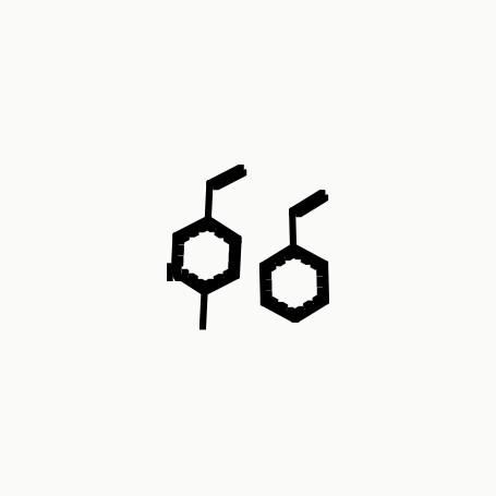 C=Cc1ccc(C)nc1.C=Cc1ccccc1